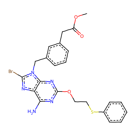 COC(=O)Cc1cccc(Cn2c(Br)nc3c(N)nc(OCCSc4ccccc4)nc32)c1